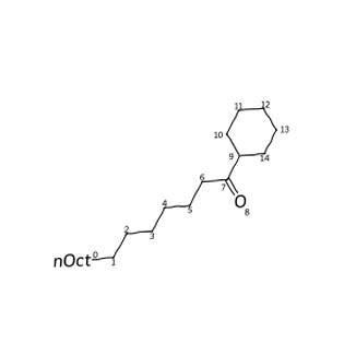 CCCCCCCCCCCCCCC(=O)C1CCCCC1